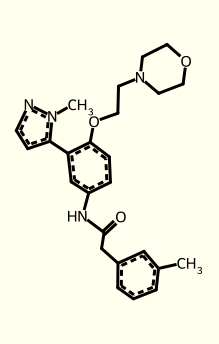 Cc1cccc(CC(=O)Nc2ccc(OCCN3CCOCC3)c(-c3ccnn3C)c2)c1